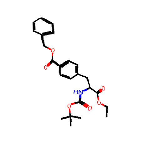 CCOC(=O)C(Cc1ccc(C(=O)OCc2ccccc2)cc1)NC(=O)OC(C)(C)C